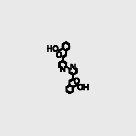 O=C(O)c1ccccc1C=Cc1ccnc(-c2cc(C=Cc3ccccc3C(=O)O)ccn2)c1